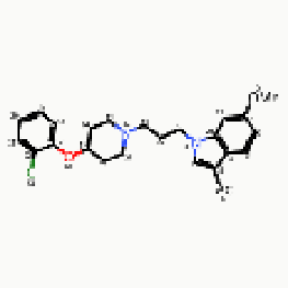 COc1ccc2c(C(C)=O)cn(CCCN3CCC(Oc4ccccc4Cl)CC3)c2c1